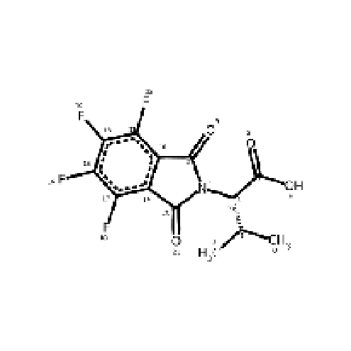 CC(C)[C@@H](C(=O)O)N1C(=O)c2c(F)c(F)c(F)c(F)c2C1=O